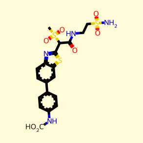 CS(=O)(=O)C(C(=O)NCCS(N)(=O)=O)c1nc2ccc(-c3ccc(NC(=O)O)cc3)cc2s1